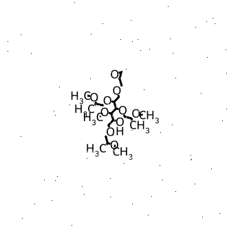 COC(C)COCC(O)C(OC)C(OCC(C)OC)C(COCC1CO1)OCC(C)OC